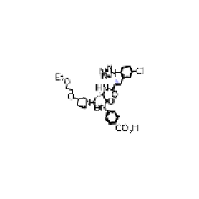 CCOCCOC1CCN(C(=O)C[C@H](NC(=O)/C=C/c2cc(Cl)ccc2-n2cnnn2)C(=O)Nc2ccc(C(=O)O)cc2)C1